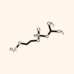 COCCO[SiH](Cl)OC(C)C